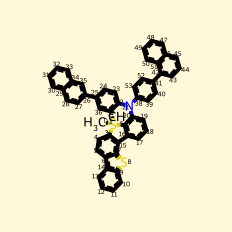 CS1(C)c2ccc3c(sc4ccccc43)c2-c2cccc(N(c3ccc(-c4ccc5ccccc5c4)cc3)c3ccc(-c4cccc5ccccc45)cc3)c21